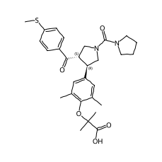 CSc1ccc(C(=O)[C@@H]2CN(C(=O)N3CCCC3)C[C@H]2c2cc(C)c(OC(C)(C)C(=O)O)c(C)c2)cc1